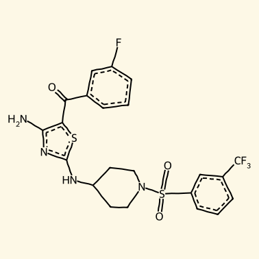 Nc1nc(NC2CCN(S(=O)(=O)c3cccc(C(F)(F)F)c3)CC2)sc1C(=O)c1cccc(F)c1